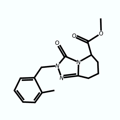 COC(=O)C1CCCc2nn(Cc3ccccc3C)c(=O)n21